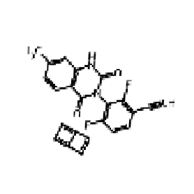 C#Cc1ccc(F)c(-n2c(=O)[nH]c3cc(C)ccc3c2=O)c1F.c1cc2ccc1-2